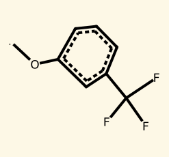 [CH2]Oc1cccc(C(F)(F)F)c1